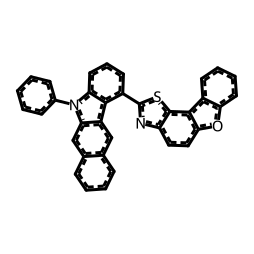 c1ccc(-n2c3cc4ccccc4cc3c3c(-c4nc5ccc6oc7ccccc7c6c5s4)cccc32)cc1